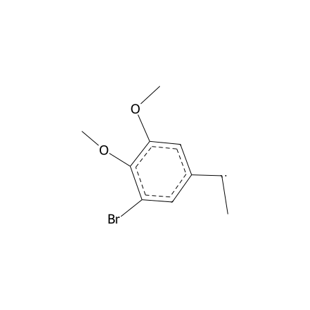 C[CH]c1cc(Br)c(OC)c(OC)c1